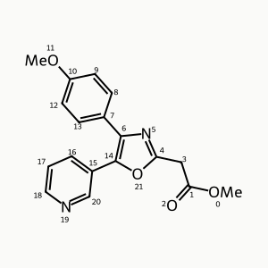 COC(=O)Cc1nc(-c2ccc(OC)cc2)c(-c2cccnc2)o1